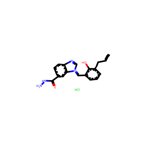 C=CCc1cccc(C=[N+]2C=Nc3ccc(C(=O)NN)cc32)c1O.Cl